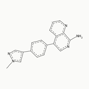 Cn1cc(-c2ccc(-c3cnc(N)c4nc[c]cc34)cc2)cn1